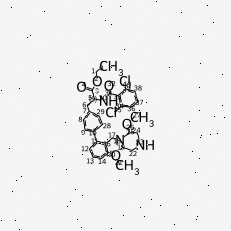 CCOC(=O)[C@H](Cc1ccc(-c2ccccc2CN2C(OC)CNCC2OC)cc1)NC(=O)c1c(Cl)cccc1Cl